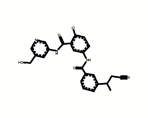 CC(CC#N)c1cccc(C(=O)Nc2ccc(Cl)c(C(=O)Nc3cncc(CO)c3)c2)c1